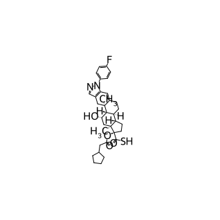 C[C@]12Cc3cnn(-c4ccc(F)cc4)c3C=C1CC[C@@H]1[C@@H]2[C@@H](O)C[C@@]2(C)[C@H]1CC[C@]2(OC(=O)CC1CCCC1)C(=O)S